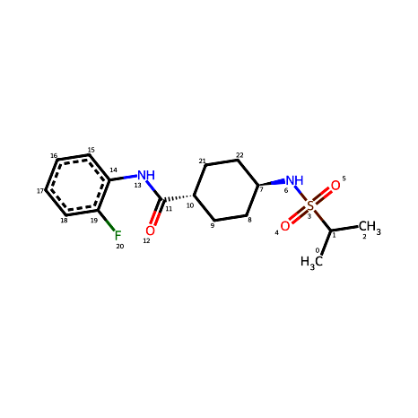 CC(C)S(=O)(=O)N[C@H]1CC[C@H](C(=O)Nc2ccccc2F)CC1